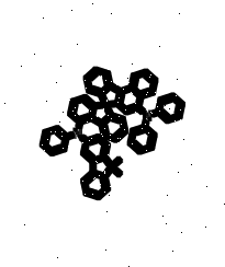 CC1(C)c2ccccc2-c2cc(N(c3ccccc3)c3cccc4c3-c3ccccc3C43c4ccccc4-c4c3cc(N(c3ccccc3)c3ccccc3)c3ccccc43)ccc21